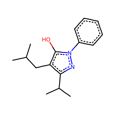 CC(C)Cc1c(C(C)C)nn(-c2ccccc2)c1O